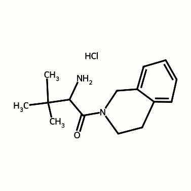 CC(C)(C)C(N)C(=O)N1CCc2ccccc2C1.Cl